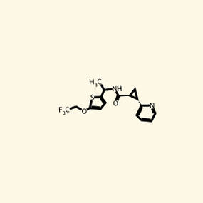 CC(NC(=O)[C@H]1C[C@@H]1c1ccccn1)c1ccc(OCC(F)(F)F)s1